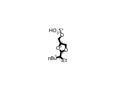 CCCCC(CC)C1OCC(COS(=O)(=O)O)O1